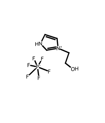 F[P-](F)(F)(F)(F)F.OCC[n+]1cc[nH]c1